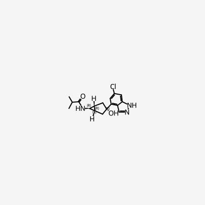 CC(C)C(=O)N[C@H]1[C@@H]2C[C@@](O)(c3cc(Cl)cc4[nH]ncc34)C[C@@H]21